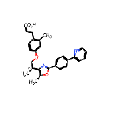 Cc1cc(OC[C@H](C)c2nc(-c3ccc(-c4ccccn4)cc3)oc2C)ccc1CCC(=O)O